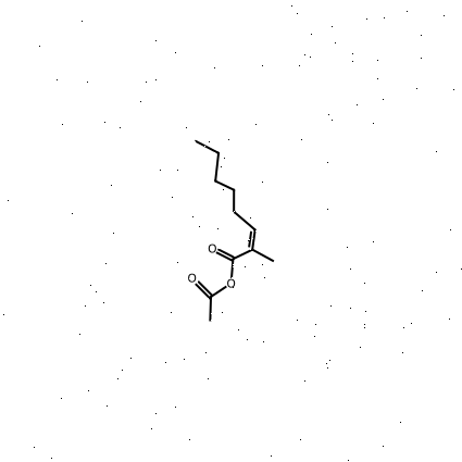 CCCCCC=C(C)C(=O)OC(C)=O